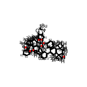 [2H]c1c([2H])c2c(c([2H])c1-c1cccc(-c3c([2H])c([2H])c4c(c3[2H])C(C([2H])([2H])[2H])(C([2H])([2H])[2H])C([2H])([2H])C([2H])([2H])C4(C([2H])([2H])[2H])C([2H])([2H])[2H])c1-[n+]1cn(-c3cc(Oc4ccc5c6ccccc6n(-c6cc(C(C)(C)C)ccn6)c5c4)c4oc(C(C)(C)C)nc4c3)c3ccccc31)C(C([2H])([2H])[2H])(C([2H])([2H])[2H])C([2H])([2H])C([2H])([2H])C2(C([2H])([2H])[2H])C([2H])([2H])[2H]